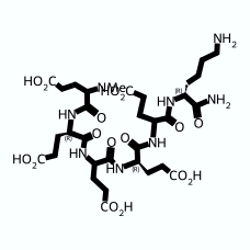 CNC(CCC(=O)O)C(=O)N[C@H](CCC(=O)O)C(=O)NC(CCC(=O)O)C(=O)N[C@H](CCC(=O)O)C(=O)NC(CCC(=O)O)C(=O)N[C@H](CCCCN)C(N)=O